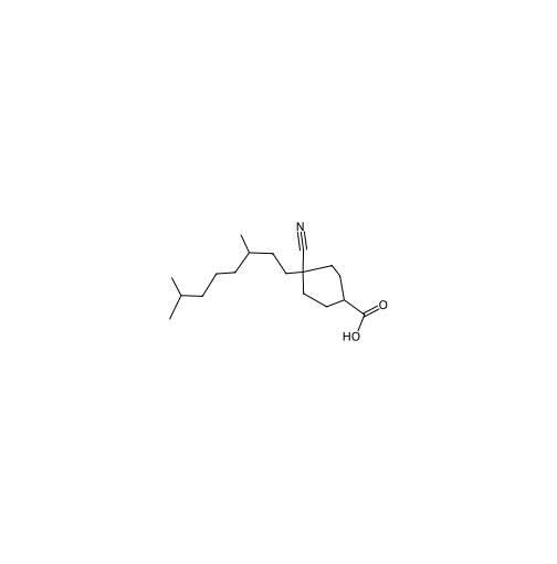 CC(C)CCCC(C)CCC1(C#N)CCC(C(=O)O)CC1